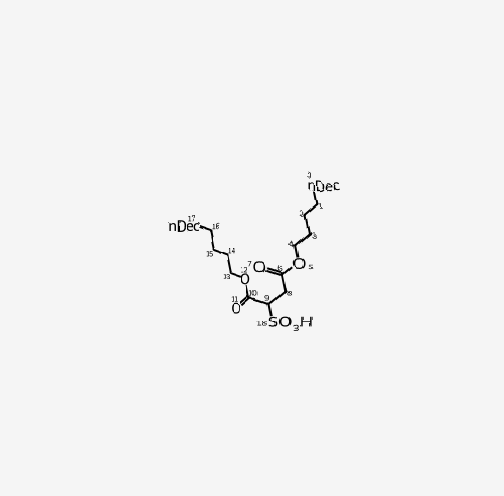 CCCCCCCCCCCCCCOC(=O)CC(C(=O)OCCCCCCCCCCCCCC)S(=O)(=O)O